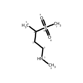 CNCCC(C)S(C)(=O)=O